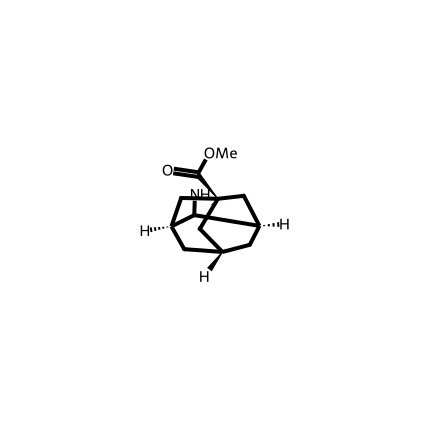 COC(=O)[C@]12C[C@@H]3C[C@H](C1)C(N)[C@@H](C3)C2